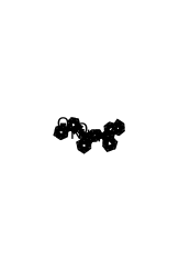 C1=CC2Oc3ccccc3C2c2nc(-n3c4ccccc4c4cc(-n5c6ccccc6c6c7ccccc7ccc65)ccc43)oc21